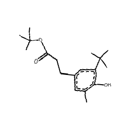 Cc1cc(CCC(=O)OC(C)(C)C)cc(C(C)(C)C)c1O